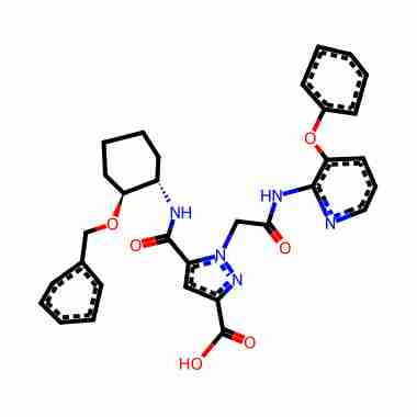 O=C(Cn1nc(C(=O)O)cc1C(=O)N[C@H]1CCCC[C@@H]1OCc1ccccc1)Nc1ncccc1Oc1ccccc1